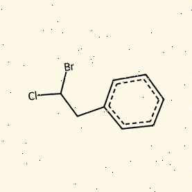 ClC(Br)Cc1ccccc1